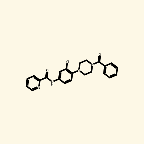 O=C(Nc1ccc(N2CCN(C(=O)c3ccccc3)CC2)c(Cl)c1)c1ccccn1